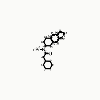 CCCN(C(=O)CC1CCCCC1)[C@H]1CCc2cc3ccoc3cc2C1